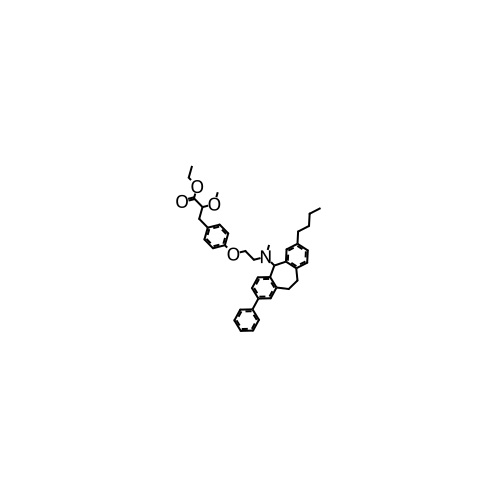 CCCCc1ccc2c(c1)C(N(C)CCOc1ccc(CC(OC)C(=O)OCC)cc1)c1ccc(-c3ccccc3)cc1CC2